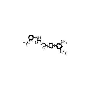 Cc1cccc(NC(=O)CSCC(=O)N2CCN(c3cc(C(F)(F)F)cc(C(F)(F)F)c3)CC2)c1